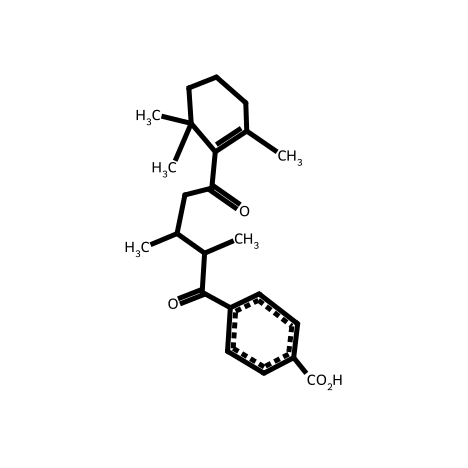 CC1=C(C(=O)CC(C)C(C)C(=O)c2ccc(C(=O)O)cc2)C(C)(C)CCC1